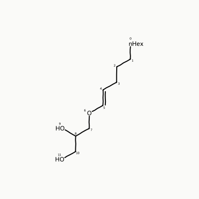 CCCCCCCCCC=COCC(O)CO